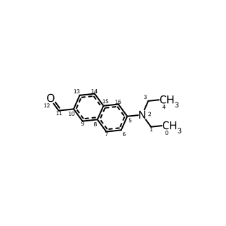 CCN(CC)c1ccc2cc(C=O)ccc2c1